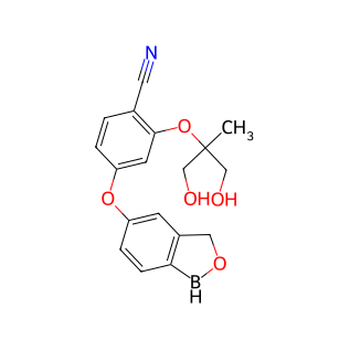 CC(CO)(CO)Oc1cc(Oc2ccc3c(c2)COB3)ccc1C#N